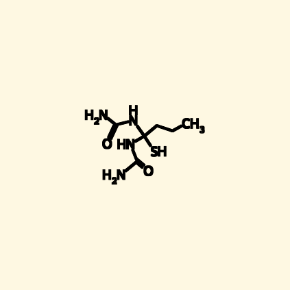 CCCC(S)(NC(N)=O)NC(N)=O